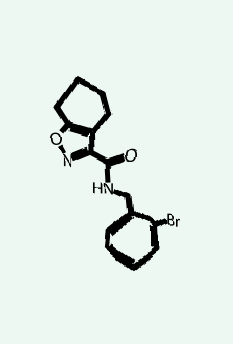 O=C(NCc1ccccc1Br)c1noc2c1CCCC2